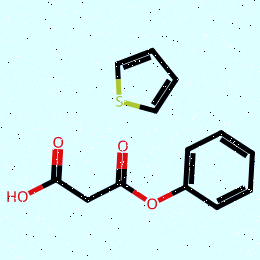 O=C(O)CC(=O)Oc1ccccc1.c1ccsc1